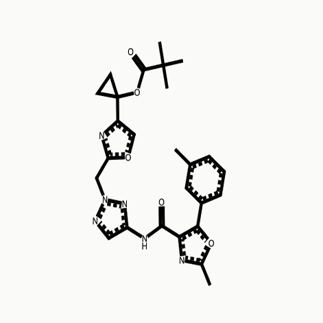 Cc1cccc(-c2oc(C)nc2C(=O)Nc2cnn(Cc3nc(C4(OC(=O)C(C)(C)C)CC4)co3)n2)c1